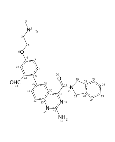 CN(C)CCOc1ccc(-c2ccc3nc(N)nc(C(=O)N4Cc5ccccc5C4)c3c2)c(C=O)c1